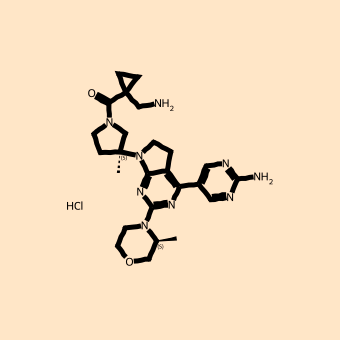 C[C@H]1COCCN1c1nc(-c2cnc(N)nc2)c2c(n1)N([C@@]1(C)CCN(C(=O)C3(CN)CC3)C1)CC2.Cl